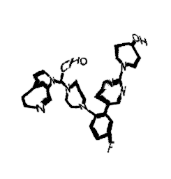 O=CC(N1CCN(c2ccc(F)cc2-c2cnc(N3CCC(O)CC3)nc2)CC1)n1ccc2ccncc21